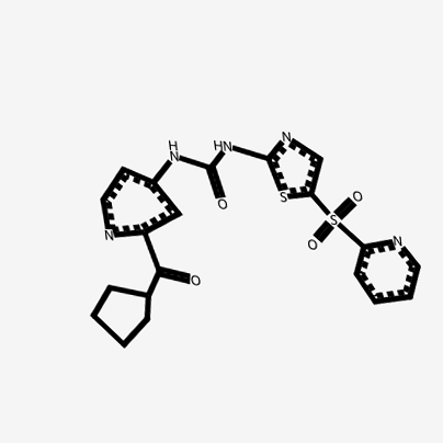 O=C(Nc1ccnc(C(=O)C2CCCC2)c1)Nc1ncc(S(=O)(=O)c2ccccn2)s1